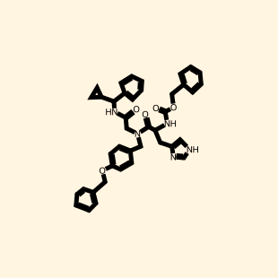 O=C(CN(Cc1ccc(OCc2ccccc2)cc1)C(=O)C(Cc1c[nH]cn1)NC(=O)OCc1ccccc1)NC(c1ccccc1)C1CC1